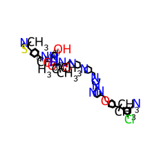 Cc1ncsc1-c1ccc([C@H](C)NC(=O)[C@@H]2C[C@@H](O)CN2C(=O)[C@@H](NC(=O)CN2CCC(N3CCC(CN4CCN(c5nccc(COc6ccc(C(C)(C)c7cc(Cl)cc(C#N)c7)cc6)n5)CC4)CC3)CC2)C(C)(C)C)cc1